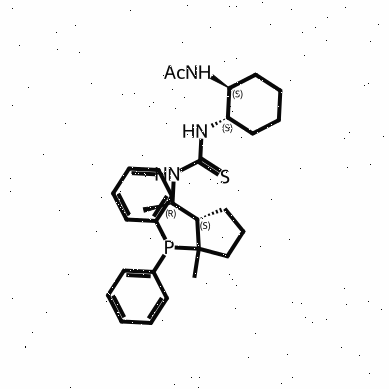 CC(=O)N[C@H]1CCCC[C@@H]1NC(=S)N[C@H](C)[C@@H]1CCCC1(C)P(c1ccccc1)c1ccccc1